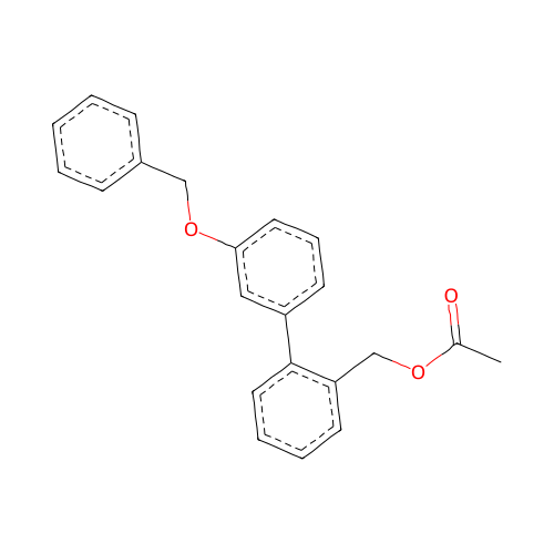 CC(=O)OCc1ccccc1-c1cccc(OCc2ccccc2)c1